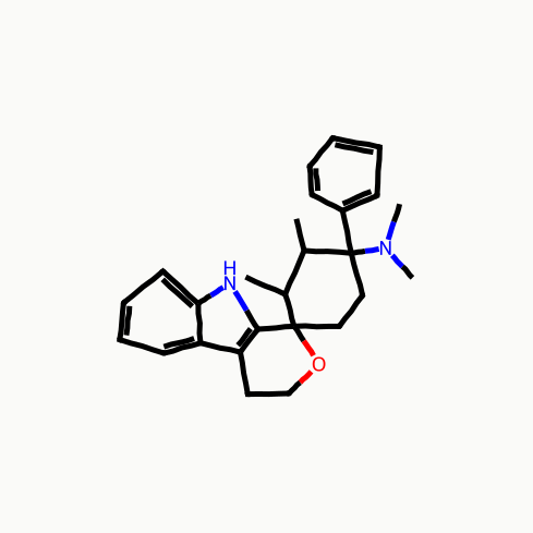 CC1C(C)C(c2ccccc2)(N(C)C)CCC12OCCc1c2[nH]c2ccccc12